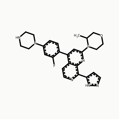 CC1COCCN1c1cc(-c2ccc(N3CCNCC3)cc2F)c2ccnc(-c3ccn[nH]3)c2n1